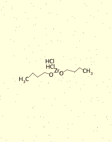 CCCC[O][Zr][O]CCCC.Cl.Cl